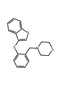 c1ccc(Sc2csc3ccccc23)c(CN2CCSCC2)c1